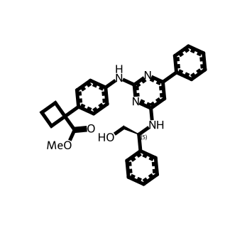 COC(=O)C1(c2ccc(Nc3nc(N[C@H](CO)c4ccccc4)cc(-c4ccccc4)n3)cc2)CCC1